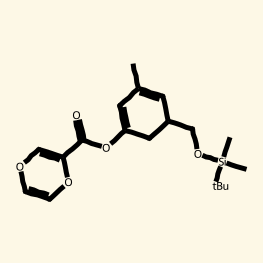 CC1=CC(CO[Si](C)(C)C(C)(C)C)CC(OC(=O)C2=COC=CO2)=C1